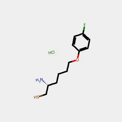 Cl.N[C@@H](CS)CCCCOc1ccc(F)cc1